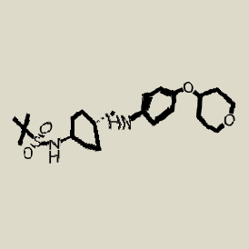 CC(C)(C)S(=O)(=O)N[C@H]1CC[C@H](CNc2ccc(OC3CCOCC3)cc2)CC1